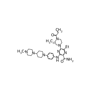 C=CC(=O)N1CCN(c2nc(Nc3ccc(N4CCC(N5CCN(C)CC5)CC4)cc3)c(C(N)=O)nc2CC)C[C@@H]1C